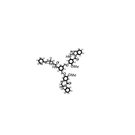 COc1cc2c(cc1OCc1cc(COc3cc4c(cc3OC)C(=O)N3c5ccccc5C[C@H]3CN4)cc(NC(=O)NCC(C)(C)SSc3ccccn3)c1)N=C[C@@H]1Cc3ccccc3N1C2=O